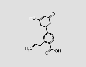 C=CCc1cc(C2CC(=O)C=C(O)C2)ccc1C(=O)O